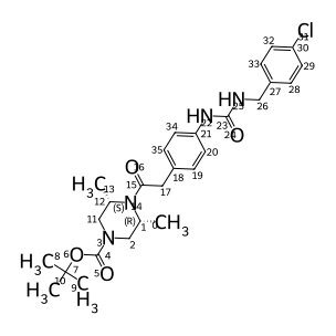 C[C@@H]1CN(C(=O)OC(C)(C)C)C[C@H](C)N1C(=O)Cc1ccc(NC(=O)NCc2ccc(Cl)cc2)cc1